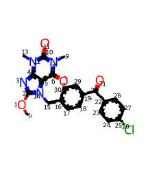 COc1nc2c(c(=O)n(C)c(=O)n2C)n1Cc1ccc(C(=O)c2ccc(Cl)cc2)cc1